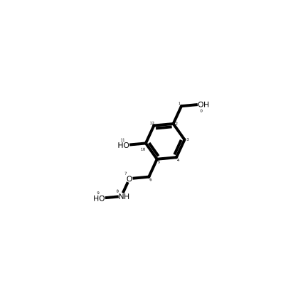 OCc1ccc(CONO)c(O)c1